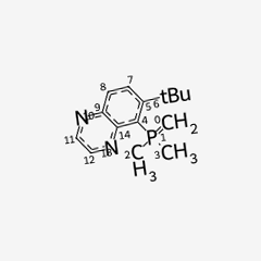 C=P(C)(C)c1c(C(C)(C)C)ccc2nccnc12